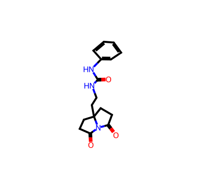 O=C(NCCC12CCC(=O)N1C(=O)CC2)Nc1ccccc1